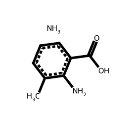 Cc1cccc(C(=O)O)c1N.N